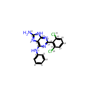 Nc1nc2c(Nc3ccccc3)nc(-c3c(Cl)cccc3Cl)nc2[nH]1